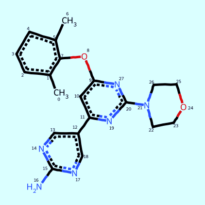 Cc1cccc(C)c1Oc1cc(-c2cnc(N)nc2)nc(N2CCOCC2)n1